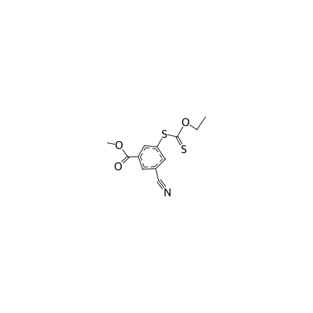 CCOC(=S)Sc1cc(C#N)cc(C(=O)OC)c1